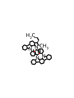 C=C/C=C\c1c(C)n(-c2ncc(-n3c4ccccc4c4ccc5c6ccccc6n(-c6ccccc6)c5c43)cn2)c2c1ccc1c3ccccc3n(-c3ccccc3)c12